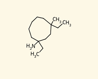 CCC1(C)CCCCCC(N)(CC)CC1